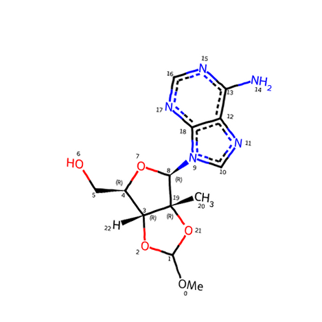 COC1O[C@@H]2[C@@H](CO)O[C@@H](n3cnc4c(N)ncnc43)[C@]2(C)O1